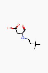 CC(C)(C)CCN[C@H]([C]=O)CC(=O)O